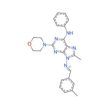 Cc1cccc(/C=N/n2c(C)nc3c(Nc4ccccc4)nc(N4CCOCC4)nc32)c1